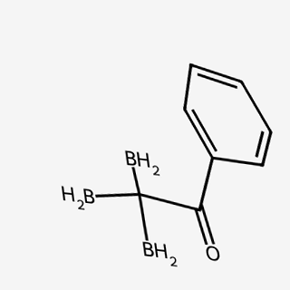 BC(B)(B)C(=O)c1ccccc1